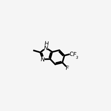 Cc1nc2cc(F)c(C(F)(F)F)cc2[nH]1